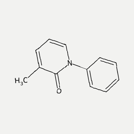 Cc1cccn(-c2ccccc2)c1=O